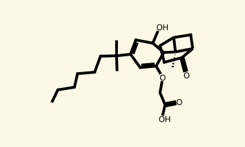 CCCCCCC(C)(C)C1=CC(O)C([C@@]2(C)C3CCC(=O)C2C3)C(OCC(=O)O)=C1